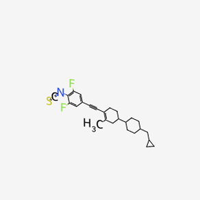 CC1=C(C#Cc2cc(F)c(N=C=S)c(F)c2)CCC(C2CCC(CC3CC3)CC2)C1